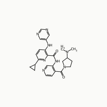 CN(C)C1CCN(C(=O)c2ccncc2NC(=O)c2nc(C3CC3)ccc2Nc2cncnc2)C1